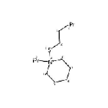 CC(C)CCS[N+]1(C(C)C)CCCCC1